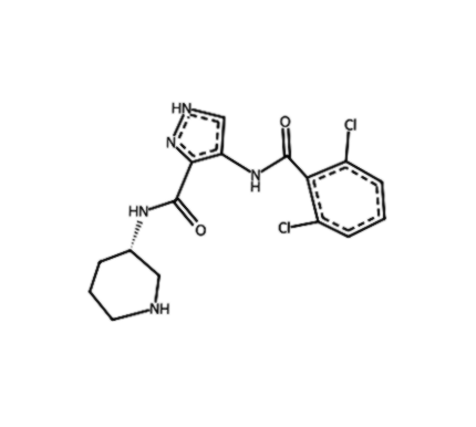 O=C(N[C@H]1CCCNC1)c1n[nH]cc1NC(=O)c1c(Cl)cccc1Cl